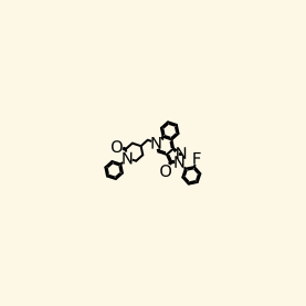 O=C1CC(Cn2cc3c(=O)n(-c4ccccc4F)nc-3c3ccccc32)CCN1c1ccccc1